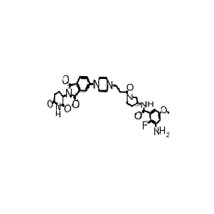 COc1cc(N)c(F)c(C(=O)N[C@H]2CCN(C(=O)CCN3CCN(c4ccc5c(c4)C(=O)N(C4CCC(=O)NC4=O)C5=O)CC3)C2)c1